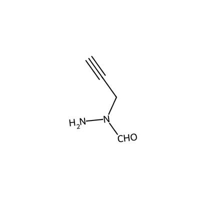 C#CCN(N)C=O